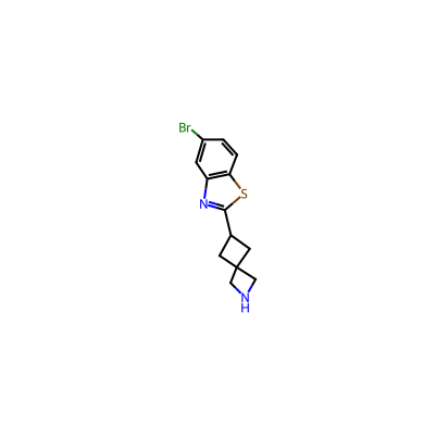 Brc1ccc2sc(C3CC4(CNC4)C3)nc2c1